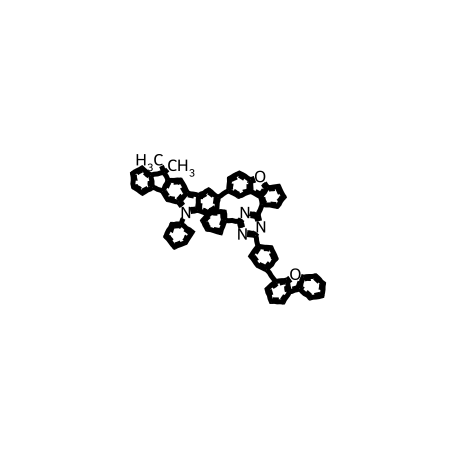 CC1(C)c2ccccc2-c2cc3c(cc21)c1cc(-c2ccc4oc5cccc(-c6nc(-c7ccccc7)nc(-c7ccc(-c8cccc9c8oc8ccccc89)cc7)n6)c5c4c2)ccc1n3-c1ccccc1